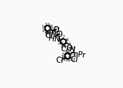 CCCC(=NOCc1ccc(NC(=O)NC(=O)c2ccccc2Cl)cc1Cl)c1ccc(Cl)cc1Cl